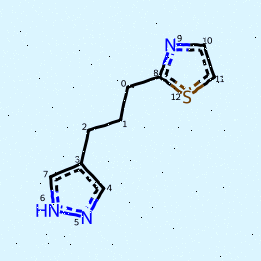 [CH](CCc1cn[nH]c1)c1nccs1